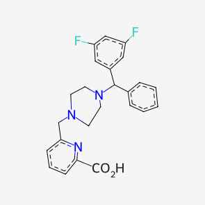 O=C(O)c1cccc(CN2CCN(C(c3ccccc3)c3cc(F)cc(F)c3)CC2)n1